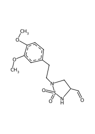 COc1ccc(CCN2CC(C=O)NS2(=O)=O)cc1OC